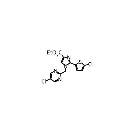 CCOC(=O)c1cn(Cc2ncc(Cl)cn2)c(-c2ccc(Cl)s2)n1